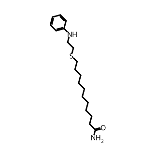 NC(=O)CCCCCCCCCCSCCNc1ccccc1